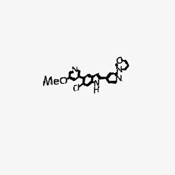 COc1cncc(-c2cc3cc(-c4ccnc(N5CCCOC5)c4)[nH]c3cc2Cl)c1